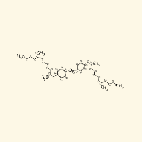 CCCCC(C)CCCCCC(C)Cc1ccc(OOc2ccc(CC(C)CCCCCC(C)CCCC)cc2)cc1